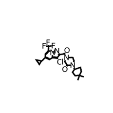 CC1(C)CCC(N2CCN(C(=O)c3nn4c(C(F)(F)F)cc(C5CC5)cc4c3Cl)CC2=O)CC1